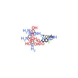 COc1c(N2CCNC(C)C2)c(F)cc2c(=O)c(C(=O)OCC[C@H]3O[C@@H](O[C@@H]4[C@H](O)[C@H](O[C@H]5O[C@H](CN)[C@@H](O)C[C@H]5N)[C@@H](N)C[C@H]4N)[C@H](O)[C@@H](N)[C@@H]3O)cn(C3CC3)c12